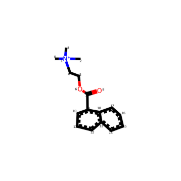 C[N+](C)(C)CCOC(=O)c1cccc2ccccc12